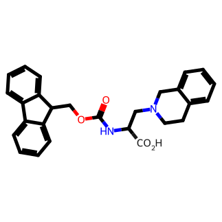 O=C(NC(CN1CCc2ccccc2C1)C(=O)O)OCC1c2ccccc2-c2ccccc21